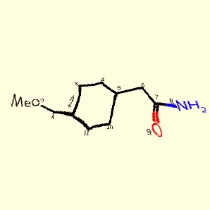 COCC1CCC(CC(N)=O)CC1